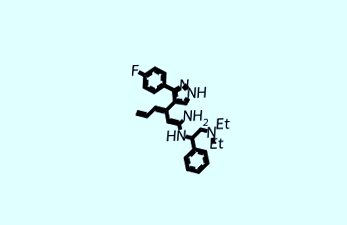 C=C/C=C(\C=C(/N)NC(CN(CC)CC)c1ccccc1)c1c[nH]nc1-c1ccc(F)cc1